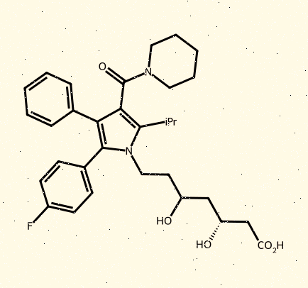 CC(C)c1c(C(=O)N2CCCCC2)c(-c2ccccc2)c(-c2ccc(F)cc2)n1CCC(O)C[C@@H](O)CC(=O)O